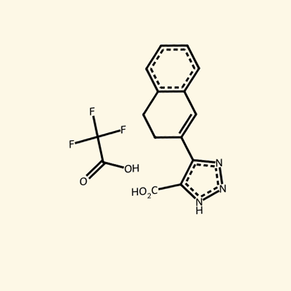 O=C(O)C(F)(F)F.O=C(O)c1[nH]nnc1C1=Cc2ccccc2CC1